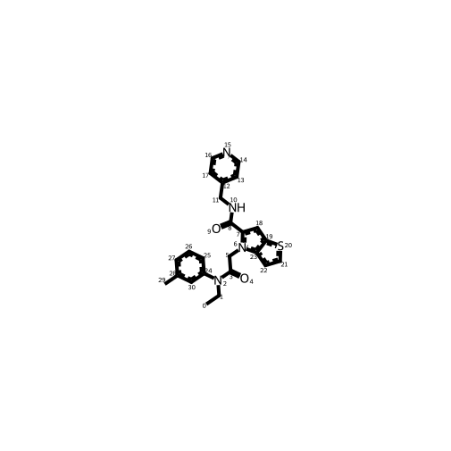 CCN(C(=O)Cn1c(C(=O)NCc2ccncc2)cc2sccc21)c1cccc(C)c1